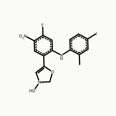 Cc1cc(I)ccc1Nc1cc(F)c([N+](=O)[O-])cc1C1=CN(O)CO1